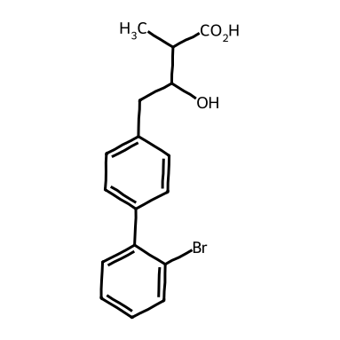 CC(C(=O)O)C(O)Cc1ccc(-c2ccccc2Br)cc1